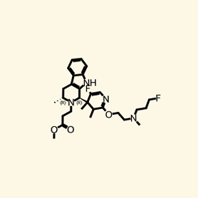 COC(=O)CCN1[C@H](C)Cc2c([nH]c3ccccc23)[C@H]1C1(C)C(F)=CN=C(OCCN(C)CCCF)C1C